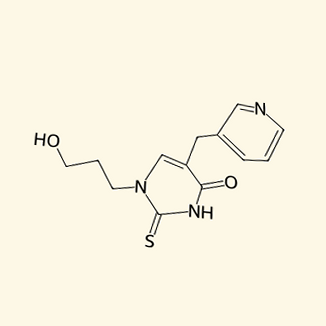 O=c1[nH]c(=S)n(CCCO)cc1Cc1cccnc1